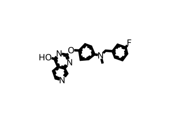 CN(Cc1cccc(F)c1)c1ccc(Oc2nc(O)c3ccncc3n2)cc1